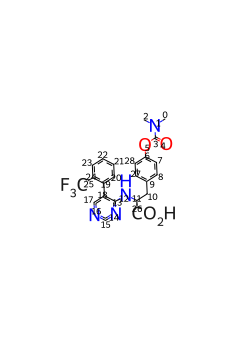 CN(C)C(=O)Oc1ccc(C[C@H](Nc2ncncc2-c2ccccc2C(F)(F)F)C(=O)O)cc1